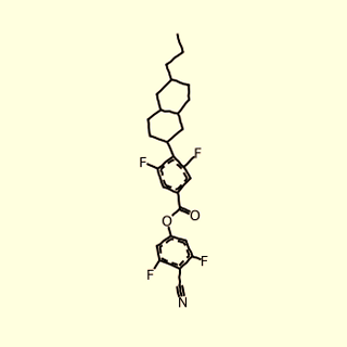 CCCC1CCC2CC(c3c(F)cc(C(=O)Oc4cc(F)c(C#N)c(F)c4)cc3F)CCC2C1